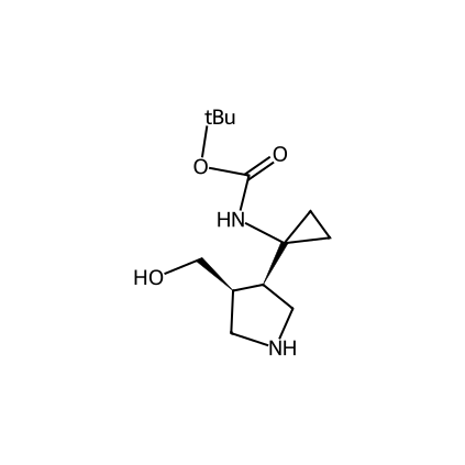 CC(C)(C)OC(=O)NC1([C@H]2CNC[C@H]2CO)CC1